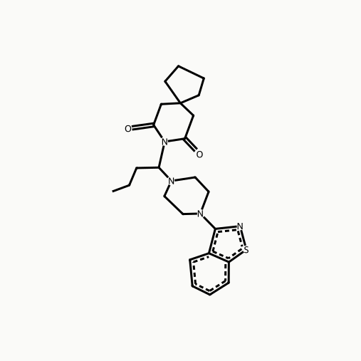 CCCC(N1CCN(c2nsc3ccccc23)CC1)N1C(=O)CC2(CCCC2)CC1=O